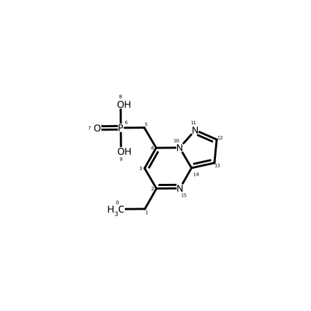 CCc1cc(CP(=O)(O)O)n2nccc2n1